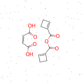 O=C(O)/C=C\C(=O)O.O=C(OC(=O)C1=CCC1)C1=CCC1